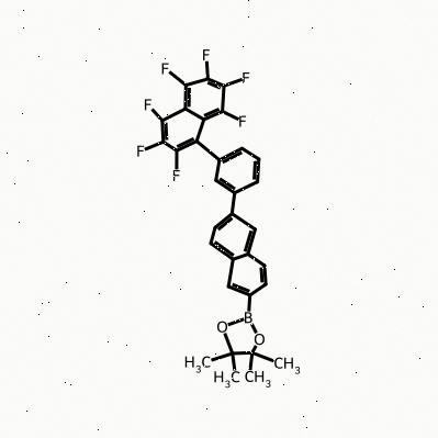 CC1(C)OB(c2ccc3cc(-c4cccc(-c5c(F)c(F)c(F)c6c(F)c(F)c(F)c(F)c56)c4)ccc3c2)OC1(C)C